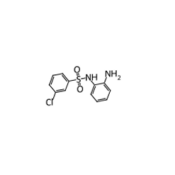 Nc1ccccc1NS(=O)(=O)c1cccc(Cl)c1